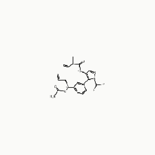 C=CC[C@H](OC(N)=O)c1cc(-c2c(NC(=O)C(C)C=C)cnn2C(F)F)ccn1